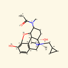 CCCCC(=O)N(C)C1CC[C@@]2(O)[C@H]3Cc4ccc(O)c5c4[C@@]2(CCN3CC2CC2)C1O5